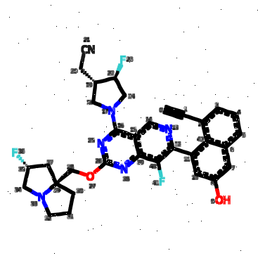 C#Cc1cccc2cc(O)cc(-c3ncc4c(N5C[C@H](CC#N)[C@@H](F)C5)nc(OC[C@@]56CCCN5C[C@H](F)C6)nc4c3F)c12